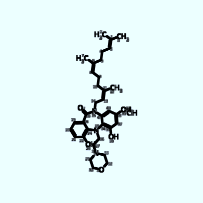 CC(C)=CCCC(C)=CCCC(C)=CCN1C(=O)c2cccc(O)c2N(CCN2CCOCC2)c2c(O)cc(O)cc21.Cl